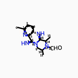 Cc1cccc(C(=N)N2CC(C)N(C=O)C(C)C2=N)n1